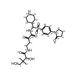 CC(C)(CO)C(O)C(=O)NCCC(=O)C(=O)NC(C1CCNCC1)S(=O)(=O)c1ccc(N2CCCC2=O)cc1